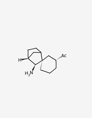 CC(=O)[C@@H]1CCC[C@@]2(C1)C1CC[C@H](C1)[C@@H]2N